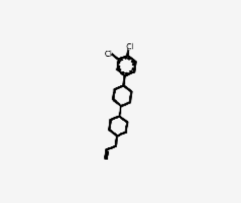 C=CCC1CCC(C2CCC(c3ccc(Cl)c(Cl)c3)CC2)CC1